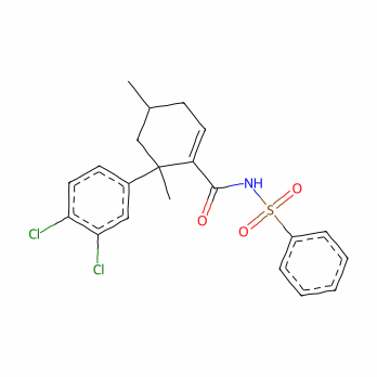 CC1CC=C(C(=O)NS(=O)(=O)c2ccccc2)C(C)(c2ccc(Cl)c(Cl)c2)C1